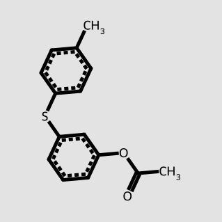 CC(=O)Oc1cccc(Sc2ccc(C)cc2)c1